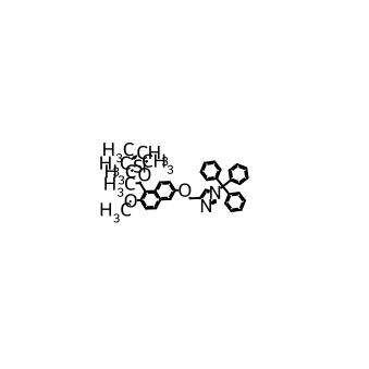 COc1ccc2cc(OCc3cn(C(c4ccccc4)(c4ccccc4)c4ccccc4)cn3)ccc2c1C(C)O[Si](C)(C)C(C)(C)C